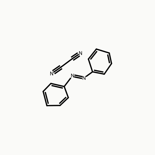 N#CC#N.c1ccc(N=Nc2ccccc2)cc1